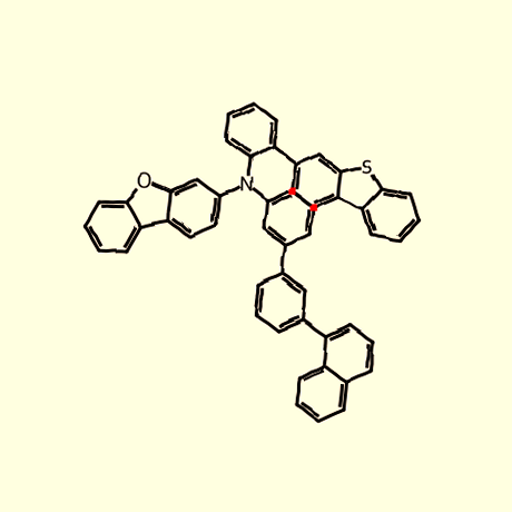 c1cc(-c2cccc(N(c3ccc4c(c3)oc3ccccc34)c3ccccc3-c3ccc4c(c3)sc3ccccc34)c2)cc(-c2cccc3ccccc23)c1